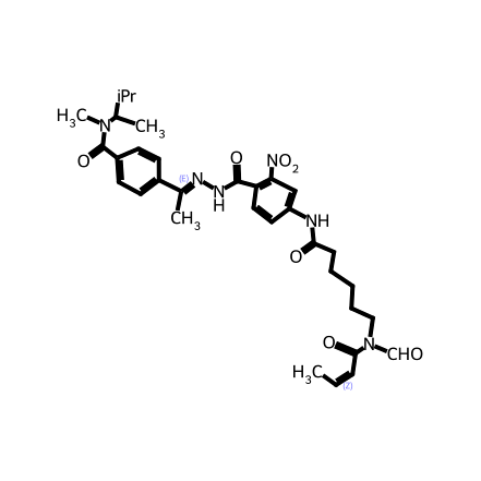 C/C=C\C(=O)N(C=O)CCCCCC(=O)Nc1ccc(C(=O)N/N=C(\C)c2ccc(C(=O)N(C)C(C)C(C)C)cc2)c([N+](=O)[O-])c1